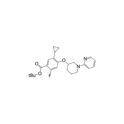 CC(C)(C)OC(=O)c1cc(C2CC2)c(OC2CCCN(c3ccccn3)C2)cc1F